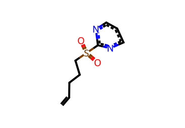 C=CCCCS(=O)(=O)c1ncccn1